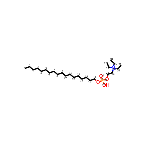 CCCCCCCCCCCCCCCCCCOP(=O)(O)OCC[N+](CC)(CC)CC